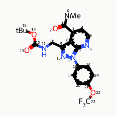 CNC(=O)c1ccnc2c1c(CNC(=O)OC(C)(C)C)nn2-c1ccc(OC(F)(F)F)cc1